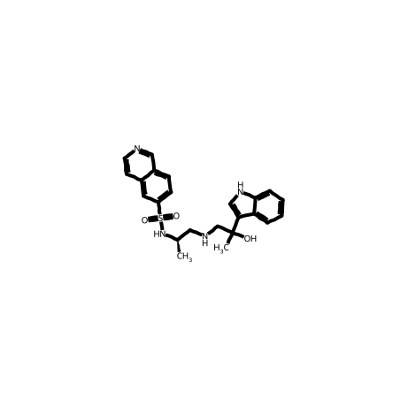 C[C@H](CNCC(C)(O)c1c[nH]c2ccccc12)NS(=O)(=O)c1ccc2cnccc2c1